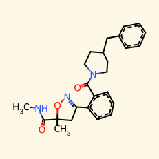 CNC(=O)C1(C)CC(c2ccccc2C(=O)N2CCC(Cc3ccccc3)CC2)=NO1